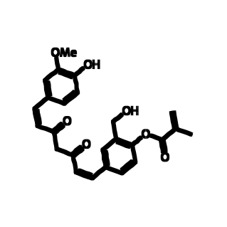 C=C(C)C(=O)Oc1ccc(/C=C\C(=O)CC(=O)/C=C\c2ccc(O)c(OC)c2)cc1CO